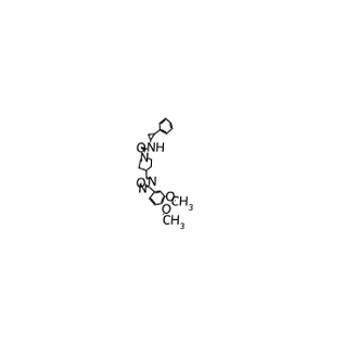 CCOc1ccc(-c2noc(C3CCN(C(=O)NC4CC4c4ccccc4)CC3)n2)cc1OC